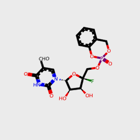 O=Cc1cn([C@@H]2O[C@](F)(COP3(=O)OCc4ccccc4O3)[C@@H](O)[C@H]2O)c(=O)[nH]c1=O